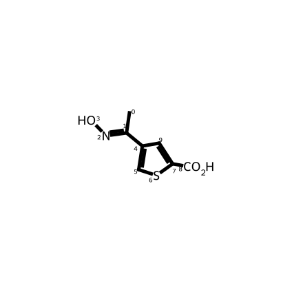 CC(=NO)c1csc(C(=O)O)c1